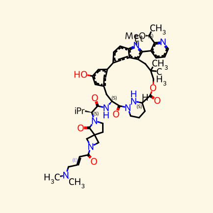 CCn1c(-c2cccnc2[C@H](C)OC)c2c3cc(ccc31)-c1cc(O)cc(c1)C[C@H](NC(=O)[C@H](C(C)C)N1CCC3(CN(C(=O)/C=C/CN(C)C)C3)C1=O)C(=O)N1CCC[C@H](N1)C(=O)OCC(C)(C)C2